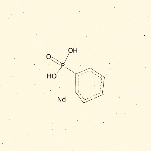 O=P(O)(O)c1ccccc1.[Nd]